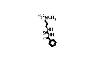 CN(C)CCCNC(=S)NC(=O)c1ccccc1